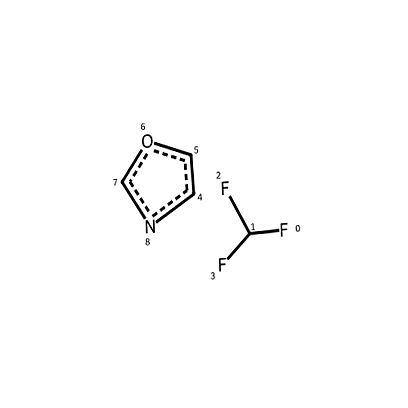 FC(F)F.c1cocn1